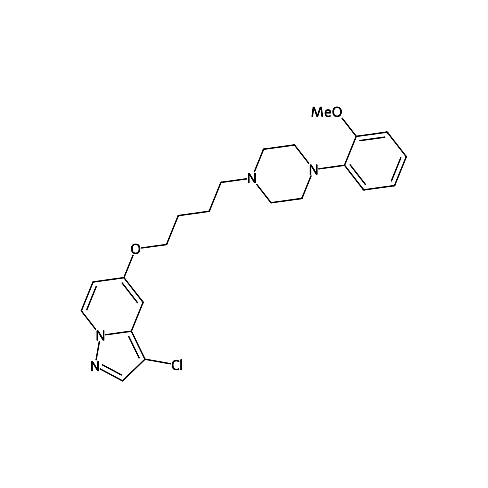 COc1ccccc1N1CCN(CCCCOc2ccn3ncc(Cl)c3c2)CC1